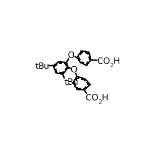 CC(C)(C)c1cc(Oc2ccc(C(=O)O)cc2)c(Oc2ccc(C(=O)O)cc2)c(C(C)(C)C)c1